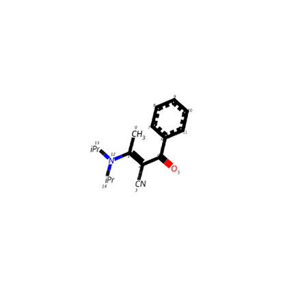 CC(=C(C#N)C(=O)c1ccccc1)N(C(C)C)C(C)C